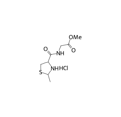 COC(=O)CNC(=O)C1CSC(C)N1.Cl